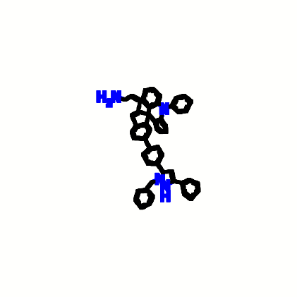 NC/C=C\C1=Cc2ccc(-c3ccc(C4C=C(c5ccccc5)NN4Cc4ccccc4)cc3)cc2C12c1ccccc1N(c1ccccc1)c1ccccc12